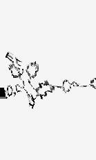 CCOC(=O)C(Cc1ccc(CC)o1)Nc1ncc(-c2ccc(OCc3ccccc3)cc2)nc1Cc1ccccc1